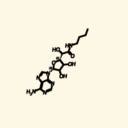 CCCCNC(=O)C(O)[C@H]1O[C@@H](n2cnc3c(N)ncnc32)C(O)C1O